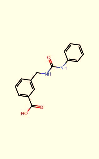 O=C(NCc1cccc(C(=O)O)c1)Nc1ccccc1